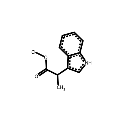 CC(C(=O)OCl)c1c[nH]c2ccccc12